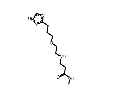 CNC(=O)CCNCCOCCCc1nc[nH]n1